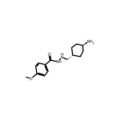 COc1ccc(C(=O)NNC[C@H]2CC[C@H](N)CC2)cc1